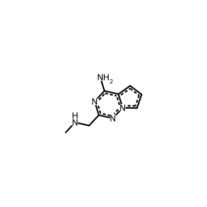 CNCc1nc(N)c2cccn2n1